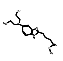 CC(C)OC(=O)CCCc1nc2cc(N(CCO)CCO)ccc2[nH]1